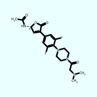 CC(=O)N[C@H]1C=C(c2cc(F)c(N3CCN(C(=O)CN(C)C)CC3)c(F)c2)C(=O)O1